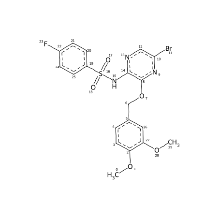 COc1ccc(COc2nc(Br)cnc2NS(=O)(=O)c2ccc(F)cc2)cc1OC